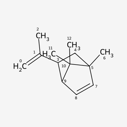 C=C(C)C1CC2(C)C=CC1C2(C)C